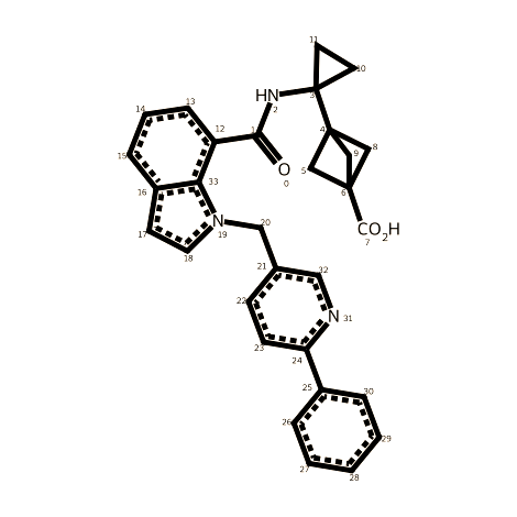 O=C(NC1(C23CC(C(=O)O)(C2)C3)CC1)c1cccc2ccn(Cc3ccc(-c4ccccc4)nc3)c12